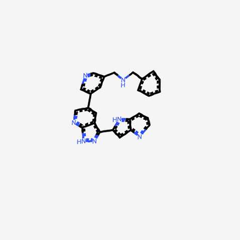 c1ccc(CNCc2cncc(-c3cnc4[nH]nc(-c5cc6ncccc6[nH]5)c4c3)c2)cc1